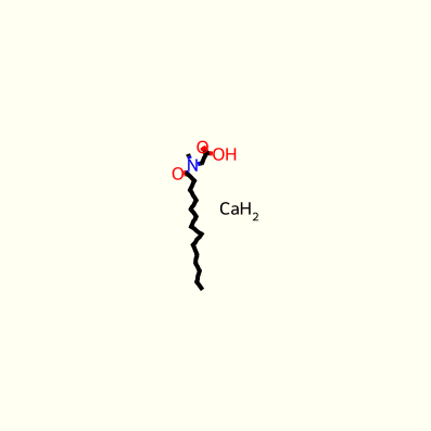 CCCCCCCCCCCCCC(=O)N(C)CC(=O)O.[CaH2]